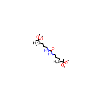 COC(C)(OC)[SiH2]CCCNC(=O)NCCC[SiH2]C(C)(OC)OC